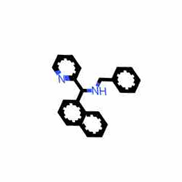 c1ccc(CNC(c2ccccn2)c2cccc3ccccc23)cc1